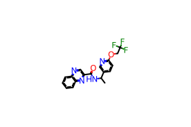 CC(NC(=O)c1cnc2ccccc2n1)c1ccc(OCC(F)(F)F)nc1